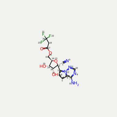 N#C[C@@]1(c2ccc3c(N)ncnn23)O[C@H](COC(=O)CC(F)(F)F)[C@@H](O)[C@H]1O